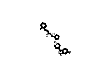 Cc1ccccc1/C=C/C(=O)NC[C@H]1CCC[C@@H]1CN1CCC(c2noc3cc(F)ccc23)CC1